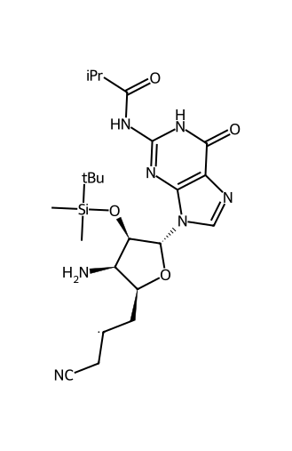 CC(C)C(=O)Nc1nc2c(ncn2[C@@H]2O[C@@H](C[CH]CC#N)[C@@H](N)[C@H]2O[Si](C)(C)C(C)(C)C)c(=O)[nH]1